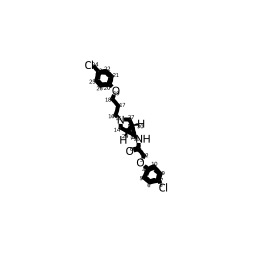 O=C(COc1ccc(Cl)cc1)N[C@H]1[C@@H]2CN(CCCOc3ccc(Cl)cc3)C[C@@H]21